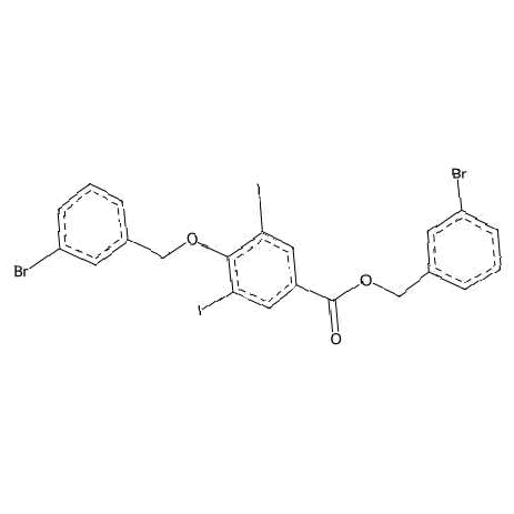 O=C(OCc1cccc(Br)c1)c1cc(I)c(OCc2cccc(Br)c2)c(I)c1